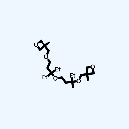 CCC(C)(CCOC(CC)(CC)CCOCC1(C)COC1)OCC1(C)COC1